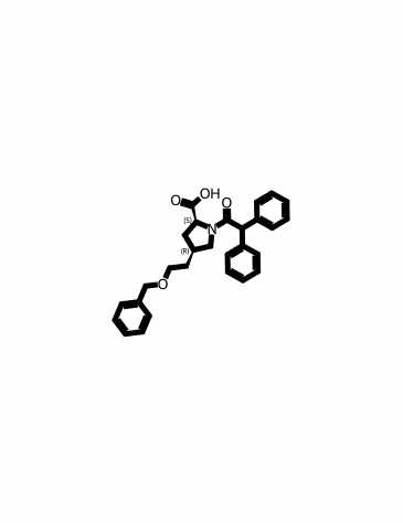 O=C(O)[C@@H]1C[C@H](CCOCc2ccccc2)CN1C(=O)C(c1ccccc1)c1ccccc1